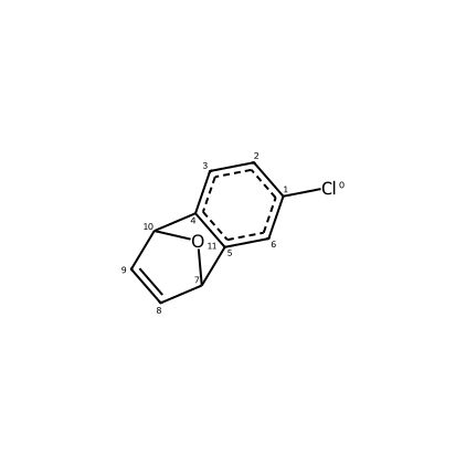 Clc1ccc2c(c1)C1C=CC2O1